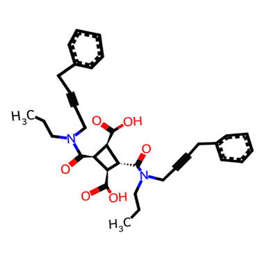 CCCN(CC#CCc1ccccc1)C(=O)[C@H]1[C@H](C(=O)O)[C@H](C(=O)N(CC#CCc2ccccc2)CCC)[C@@H]1C(=O)O